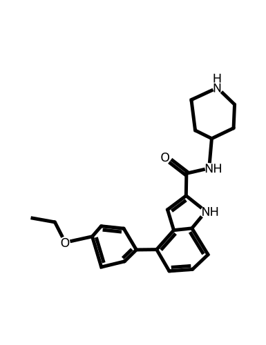 CCOc1ccc(-c2cccc3[nH]c(C(=O)NC4CCNCC4)cc23)cc1